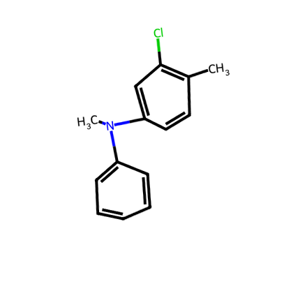 Cc1ccc(N(C)c2ccccc2)cc1Cl